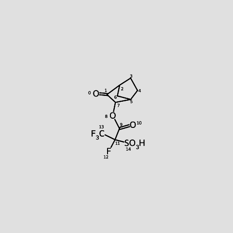 O=C1C2CCC(C2)C1OC(=O)C(F)(C(F)(F)F)S(=O)(=O)O